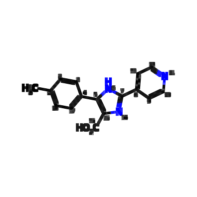 Cc1ccc(-c2[nH]c(-c3ccncc3)nc2C(=O)O)cc1